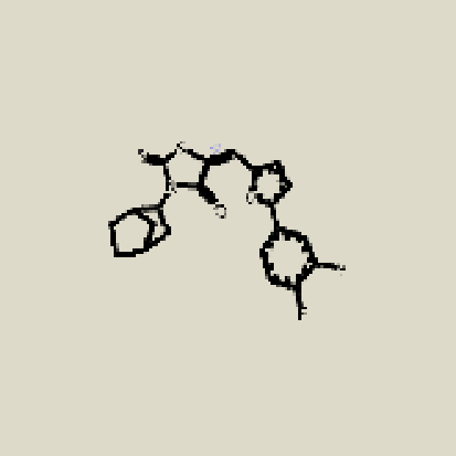 O=C1/C(=C\c2ccc(-c3ccc(F)c(F)c3)o2)SC(=S)N1C1CC2CCC1C2